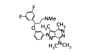 CNCCC(Oc1cccc(-n2nc3c(N(C)C)nnc(C)c3c2C)c1)c1cc(F)cc(F)c1